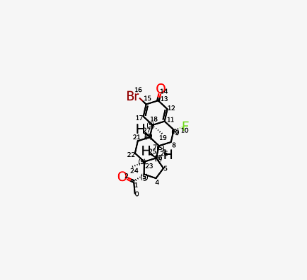 CC(=O)[C@H]1CC[C@H]2[C@@H]3C[C@@H](F)C4=CC(=O)C(Br)=C[C@]4(C)[C@H]3CC[C@]12C